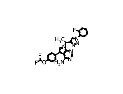 CC(c1cn(-c2ccccc2F)nn1)n1cc(-c2ccc(OC(F)F)cc2)c2c(N)ncnc21